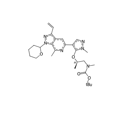 C=Cc1nn(C2CCCCO2)c2c(C)nc(-c3cnn(C)c3O[C@H](C)CN(C)C(=O)OC(C)(C)C)cc12